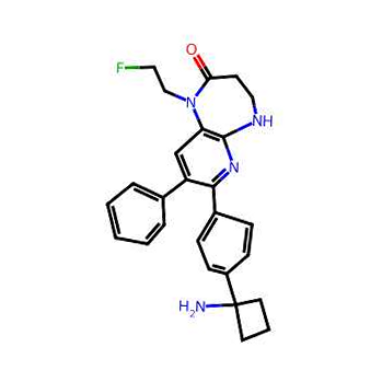 NC1(c2ccc(-c3nc4c(cc3-c3ccccc3)N(CCF)C(=O)CCN4)cc2)CCC1